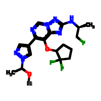 CCOC(C)n1cc(-c2ncn3nc(N[C@@H](C)CF)nc3c2OC2CCCC2(F)F)cn1